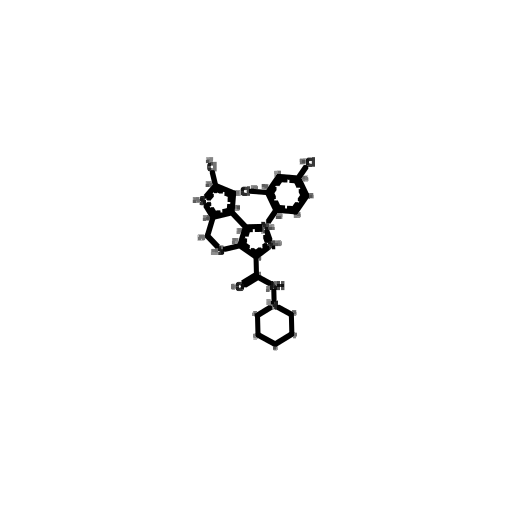 O=C(NN1CCCCC1)c1nn(-c2ccc(Cl)cc2Cl)c2c1SCc1sc(Cl)cc1-2